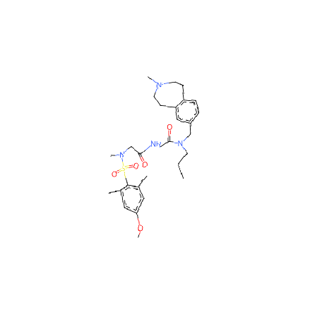 CCCN(Cc1ccc2c(c1)CCN(C)CC2)C(=O)CNC(=O)CN(C)S(=O)(=O)c1c(C)cc(OC)cc1C